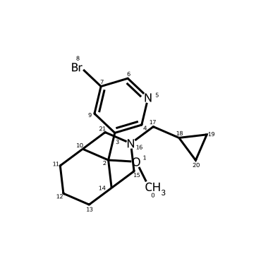 COC1(c2cncc(Br)c2)C2CCCC1CN(CC1CC1)C2